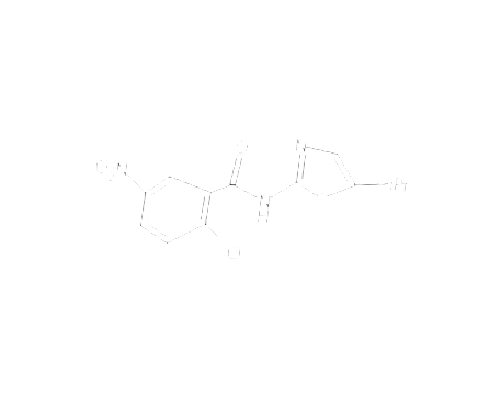 CC(C)c1cnc(NC(=O)c2cc([N+](=O)[O-])ccc2Cl)s1